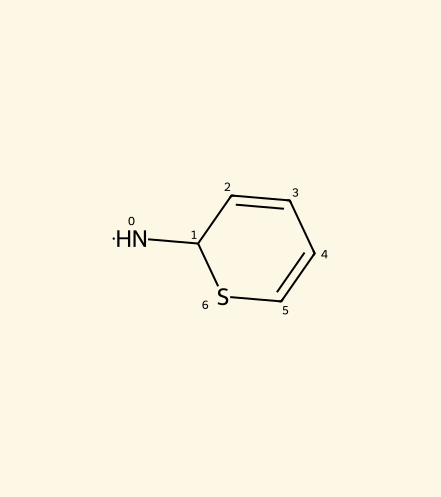 [NH]C1C=CC=CS1